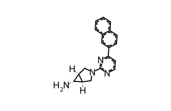 N[C@@H]1[C@H]2CN(c3nccc(-c4ccc5ccccc5c4)n3)C[C@@H]12